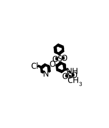 CS(=O)(=O)Nc1ccc(Oc2cncc(Cl)c2)c(S(=O)(=O)c2ccccc2)c1